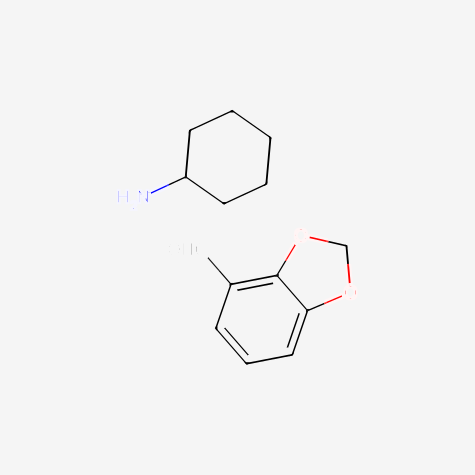 NC1CCCCC1.O=Cc1cccc2c1OCO2